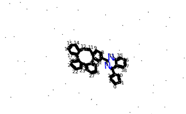 c1ccc(-c2nc(-c3ccc4ccc5ccccc5c5ccccc5c5ccccc5c4c3)nc3ccccc23)cc1